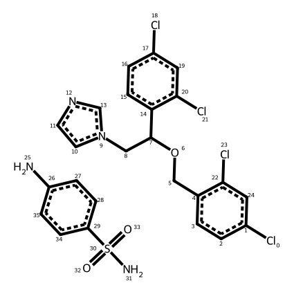 Clc1ccc(COC(Cn2ccnc2)c2ccc(Cl)cc2Cl)c(Cl)c1.Nc1ccc(S(N)(=O)=O)cc1